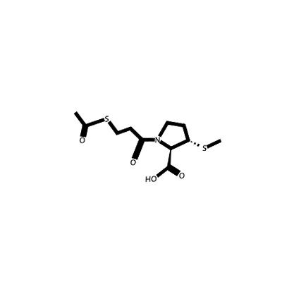 CS[C@H]1CCN(C(=O)CCSC(C)=O)[C@@H]1C(=O)O